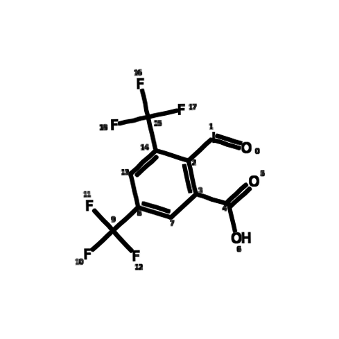 O=Ic1c(C(=O)O)cc(C(F)(F)F)cc1C(F)(F)F